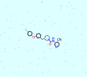 N#Cc1ccncc1NC(=O)N1CCCC(Cc2cccc(Oc3ccc(F)cc3)c2)C1